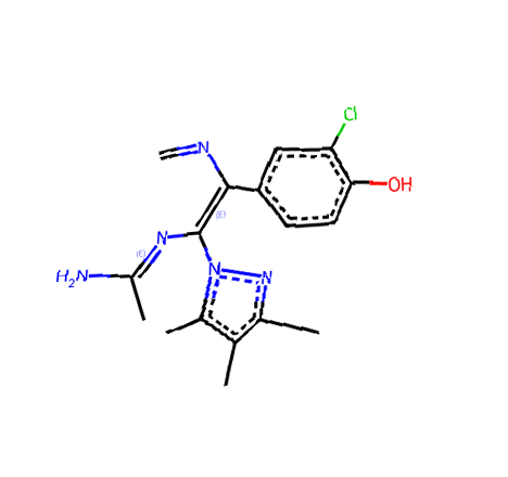 C=N/C(=C(\N=C(/C)N)n1nc(C)c(C)c1C)c1ccc(O)c(Cl)c1